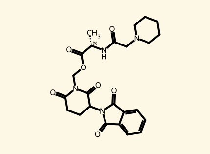 C[C@H](NC(=O)CN1CCCCC1)C(=O)OCN1C(=O)CCC(N2C(=O)c3ccccc3C2=O)C1=O